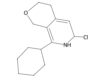 ClC1C=C2CCOCC2=C(C2CCCCC2)N1